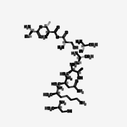 CC(C)[C@H](N)C(=O)O.CC[C@H](C)[C@H](N)C(=O)O.CC[C@H](C)[C@H](N)C(=O)O[C@H](C)[C@H](N)C(=O)OC(=O)[C@@H](N)CO.C[C@@H](O)[C@H](N)C(=O)O.NC(=O)C[C@H](N)C(=O)O.NCCCC[C@H](N)C(=O)O.N[C@@H](CS)C(=O)O